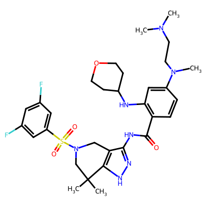 CN(C)CCN(C)c1ccc(C(=O)Nc2n[nH]c3c2CN(S(=O)(=O)c2cc(F)cc(F)c2)CC3(C)C)c(NC2CCOCC2)c1